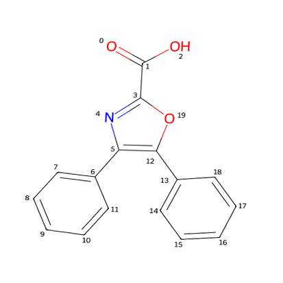 O=C(O)c1nc(-c2ccccc2)c(-c2ccccc2)o1